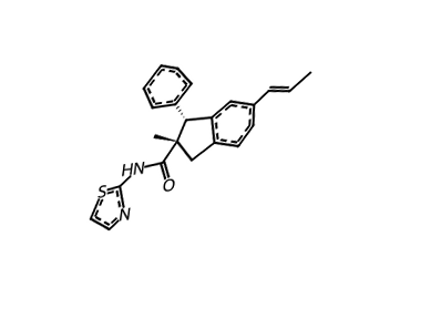 C/C=C/c1ccc2c(c1)[C@@H](c1ccccc1)[C@@](C)(C(=O)Nc1nccs1)C2